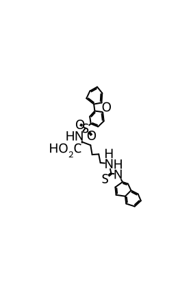 O=C(O)C(CCCCNC(=S)Nc1ccc2ccccc2c1)NS(=O)(=O)c1ccc2oc3ccccc3c2c1